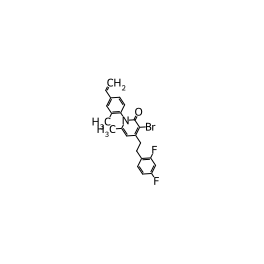 C=Cc1ccc(-n2c(C)cc(CCc3ccc(F)cc3F)c(Br)c2=O)c(C)c1